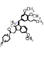 CCCc1cc(/C=C2/C(C)=C(CC(=O)N3CCN(C)CC3)c3cc(OC)ccc32)cc(OC)c1OC